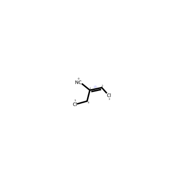 N#C/C(=C/Cl)CCl